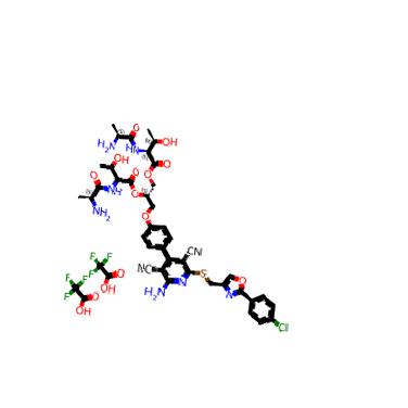 CC(O)C(NC(=O)[C@H](C)N)C(=O)O[C@H](COC(=O)[C@@H](NC(=O)[C@H](C)N)[C@@H](C)O)COc1ccc(-c2c(C#N)c(N)nc(SCc3coc(-c4ccc(Cl)cc4)n3)c2C#N)cc1.O=C(O)C(F)(F)F.O=C(O)C(F)(F)F